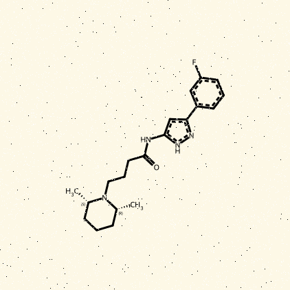 C[C@@H]1CCC[C@H](C)N1CCCC(=O)Nc1cc(-c2cccc(F)c2)n[nH]1